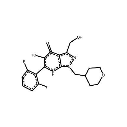 O=c1c(O)c(-c2c(F)cccc2F)[nH]c2c1c(CO)nn2CC1CCOCC1